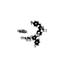 CCn1nc(Cc2ccc(F)cc2)cc1C1CCN(C[C@H]2C[C@H](OC(=O)CN(C)C(C)(C)C)C[C@@H]2c2cccc(F)c2)CC1.Cl.Cl.Cl